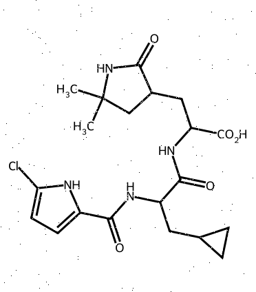 CC1(C)CC(CC(NC(=O)C(CC2CC2)NC(=O)c2ccc(Cl)[nH]2)C(=O)O)C(=O)N1